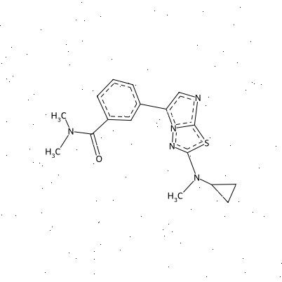 CN(C)C(=O)c1cccc(-c2cnc3sc(N(C)C4CC4)nn23)c1